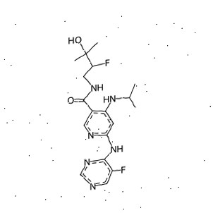 CC(C)Nc1cc(Nc2ncncc2F)ncc1C(=O)NCC(F)C(C)(C)O